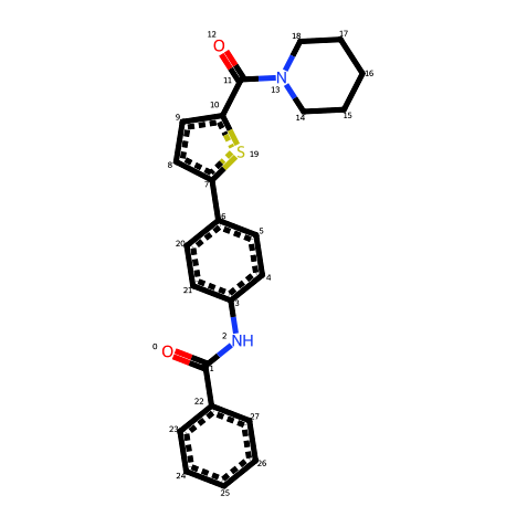 O=C(Nc1ccc(-c2ccc(C(=O)N3CCCCC3)s2)cc1)c1ccccc1